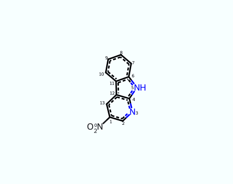 O=[N+]([O-])c1cnc2[nH]c3ccccc3c2c1